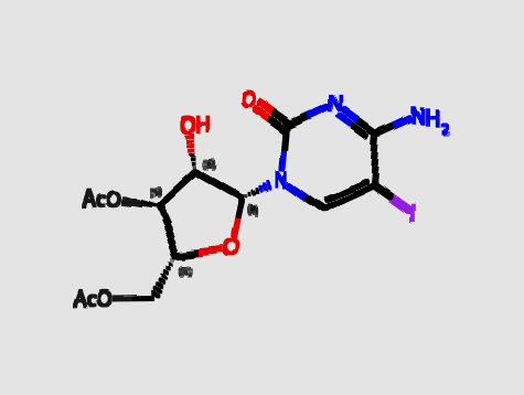 CC(=O)OC[C@H]1O[C@@H](n2cc(I)c(N)nc2=O)[C@@H](O)[C@@H]1OC(C)=O